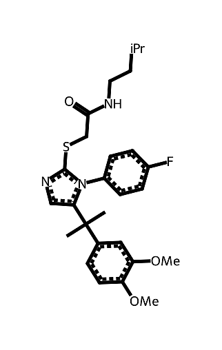 COc1ccc(C(C)(C)c2cnc(SCC(=O)NCCC(C)C)n2-c2ccc(F)cc2)cc1OC